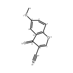 COc1ccc2occ(C#N)c(=O)c2c1